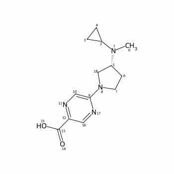 CN(C1CC1)[C@@H]1CCN(c2cnc(C(=O)O)cn2)C1